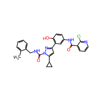 Cc1ccccc1CNC(=O)n1nc(-c2cc(NC(=O)c3cccnc3Cl)ccc2O)cc1C1CC1